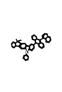 CC1(C)c2ccccc2-c2cc3c(cc21)c1cc(-c2c4ccccc4c(-c4cccc5ccccc45)c4ccccc24)ccc1n3-c1ccccc1